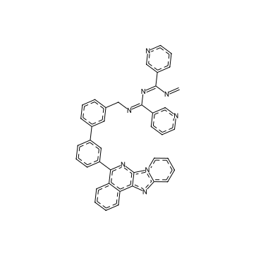 C=N/C(=N\C(=N/Cc1cccc(-c2cccc(-c3nc4c(nc5ccccn54)c4ccccc34)c2)c1)c1cccnc1)c1cccnc1